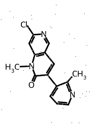 Cc1ncccc1-c1cc2cnc(Cl)cc2n(C)c1=O